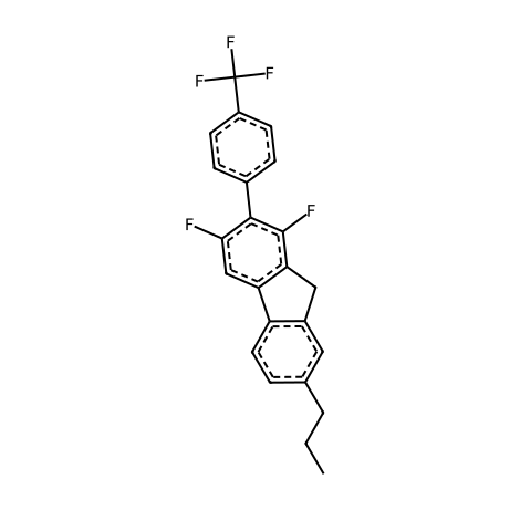 CCCc1ccc2c(c1)Cc1c-2cc(F)c(-c2ccc(C(F)(F)F)cc2)c1F